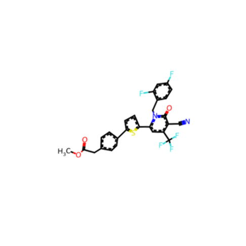 COC(=O)Cc1ccc(-c2ccc(-c3cc(C(F)(F)F)c(C#N)c(=O)n3Cc3ccc(F)cc3F)s2)cc1